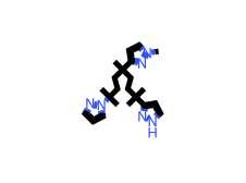 Cn1ccc(C(C)(CCC(C)(C)c2cc[nH]n2)CCC(C)(C)n2cccn2)n1